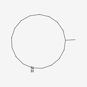 CC1CCCCCCCCCCCNCCCC1